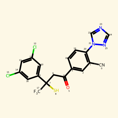 N#Cc1cc(C(=O)CC(S)(c2cc(Cl)cc(Cl)c2)C(F)(F)F)ccc1-n1cncn1